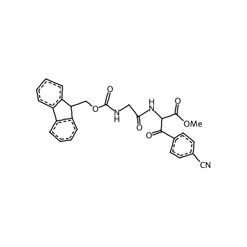 COC(=O)C(NC(=O)CNC(=O)OCC1c2ccccc2-c2ccccc21)C(=O)c1ccc(C#N)cc1